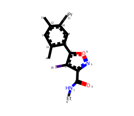 CCNC(=O)c1noc(-c2cc(C(C)C)c(C)cc2C)c1I